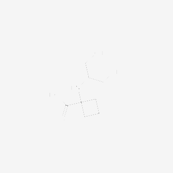 CCC(CC)NC1(C(=O)O)CCC1